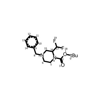 CC(C)(C)OC(=O)N1CCN(Cc2ccccc2)CC1C(F)F